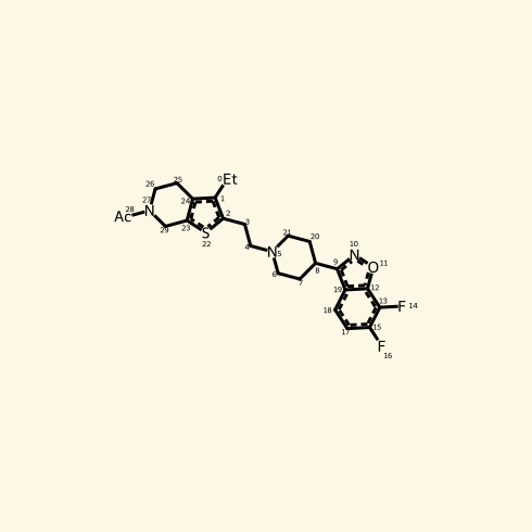 CCc1c(CCN2CCC(c3noc4c(F)c(F)ccc34)CC2)sc2c1CCN(C(C)=O)C2